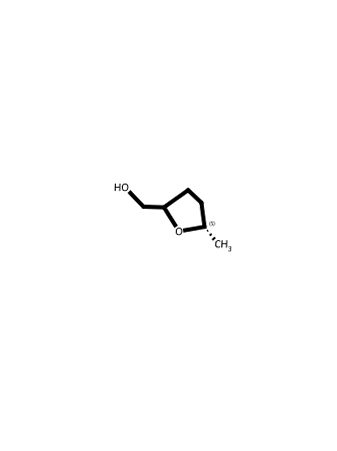 C[C@H]1CCC(CO)O1